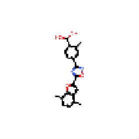 Cc1cc(-c2noc(-c3cc4c(C)ccc(C)c4o3)n2)ccc1C(O)O